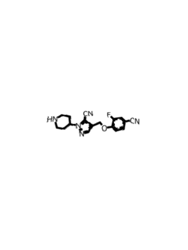 N#Cc1ccc(OCc2cnn(C3CCNCC3)c2C#N)c(F)c1